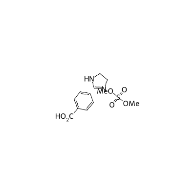 C1=NCCN1.COS(=O)(=O)OC.O=C(O)c1ccccc1